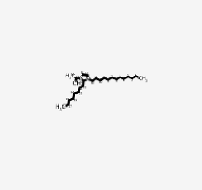 CCCCCCCCCCCCCN1C=CN(C(C)C)C1CCCCCCCC